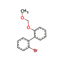 COCOc1ccccc1-c1ccccc1Br